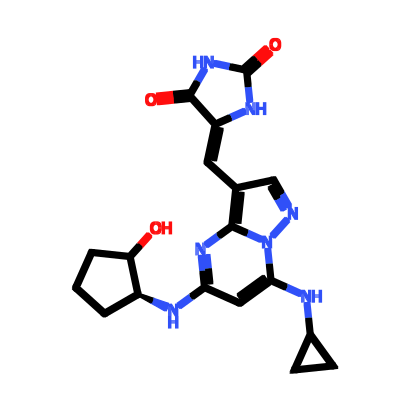 O=C1NC(=O)/C(=C/c2cnn3c(NC4CC4)cc(N[C@H]4CCCC4O)nc23)N1